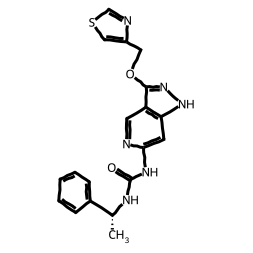 C[C@@H](NC(=O)Nc1cc2[nH]nc(OCc3cscn3)c2cn1)c1ccccc1